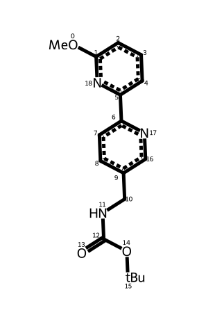 COc1cccc(-c2ccc(CNC(=O)OC(C)(C)C)cn2)n1